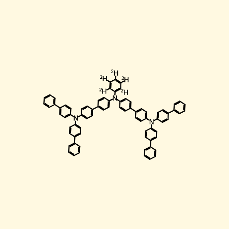 [2H]c1c([2H])c([2H])c(N(c2ccc(-c3ccc(N(c4ccc(-c5ccccc5)cc4)c4ccc(-c5ccccc5)cc4)cc3)cc2)c2ccc(-c3ccc(N(c4ccc(-c5ccccc5)cc4)c4ccc(-c5ccccc5)cc4)cc3)cc2)c([2H])c1[2H]